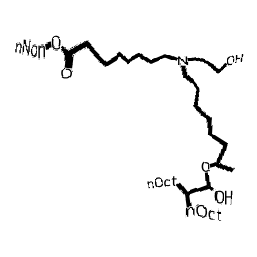 CCCCCCCCCOC(=O)CCCCCCCN(CCO)CCCCCCC(C)OC(O)C(CCCCCCCC)CCCCCCCC